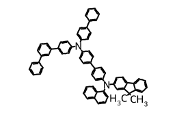 CC1(C)c2ccccc2-c2ccc(N(c3ccc(-c4ccc(N(c5ccc(-c6ccccc6)cc5)c5ccc(-c6cccc(-c7ccccc7)c6)cc5)cc4)cc3)c3cccc4ccccc34)cc21